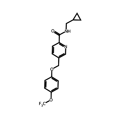 O=C(NCC1CC1)c1ccc(COc2ccc(OC(F)(F)F)cc2)cn1